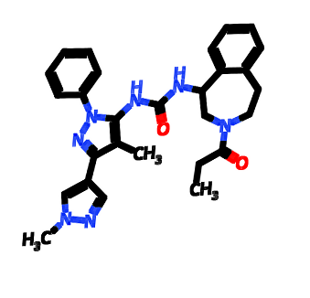 CCC(=O)N1CCc2ccccc2C(NC(=O)Nc2c(C)c(-c3cnn(C)c3)nn2-c2ccccc2)C1